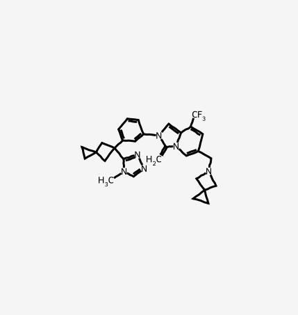 C=C1N2C=C(CN3CC4(CC4)C3)C=C(C(F)(F)F)C2=CN1c1cccc(C2(c3nncn3C)CC3(CC3)C2)c1